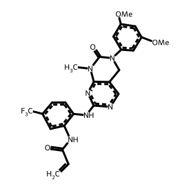 C=CC(=O)Nc1cc(C(F)(F)F)ccc1Nc1ncc2c(n1)N(C)C(=O)N(c1cc(OC)cc(OC)c1)C2